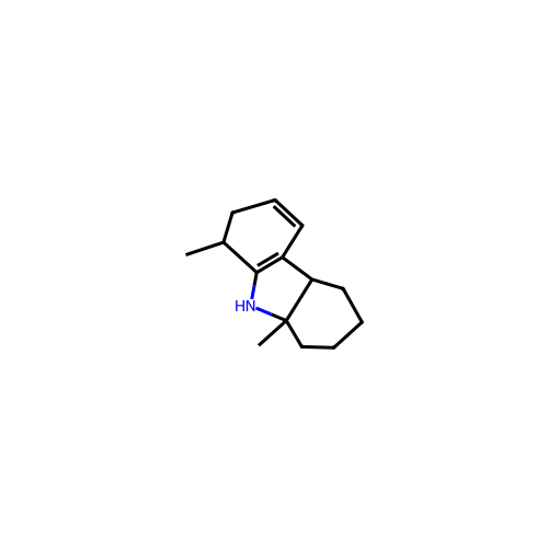 CC1CC=CC2=C1NC1(C)CCCCC21